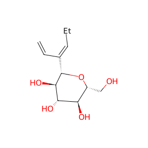 C=C/C(=C\CC)[C@@H]1O[C@H](CO)[C@@H](O)[C@H](O)[C@H]1O